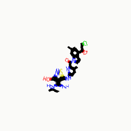 Cc1cc(C(=O)CCl)c2ccn(C(=O)c3nc(Nc4snc(O)c4C(=N)NC(C)C)ccc3C)c2c1